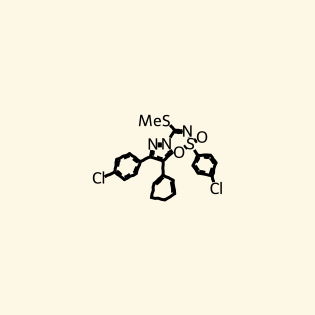 CSC(=NS(=O)(=O)c1ccc(Cl)cc1)n1cc(C2=CCCC=C2)c(-c2ccc(Cl)cc2)n1